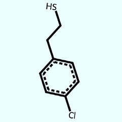 SCCc1ccc(Cl)cc1